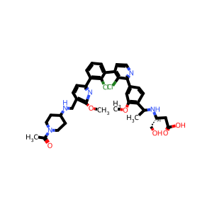 COc1cc(-c2nccc(-c3cccc(-c4ccc(CNC5CCN(C(C)=O)CC5)c(OC)n4)c3Cl)c2Cl)ccc1C(C)N[C@@H](CO)CC(=O)O